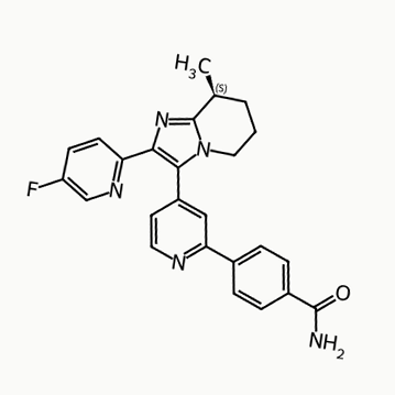 C[C@H]1CCCn2c1nc(-c1ccc(F)cn1)c2-c1ccnc(-c2ccc(C(N)=O)cc2)c1